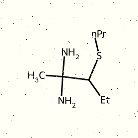 CCCSC(CC)C(C)(N)N